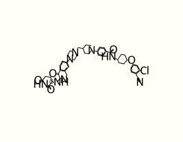 N#Cc1ccc(O[C@H]2CC[C@H](NC(=O)c3ccc(N4CCC(CN5CCN(c6ccc7c(c6)C=NC(N[C@H]6CCC(=O)NC6=O)C7=O)CC5)CC4)cc3)CC2)cc1Cl